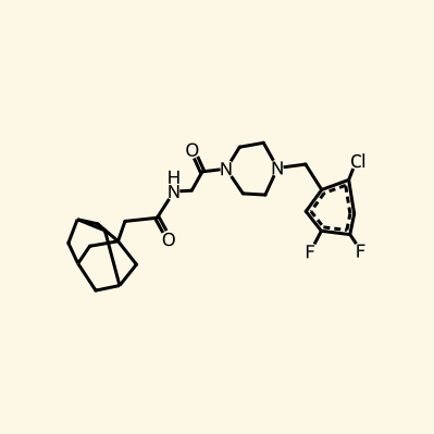 O=C(CC12CC3CC(CC(C3)C1)C2)NCC(=O)N1CCN(Cc2cc(F)c(F)cc2Cl)CC1